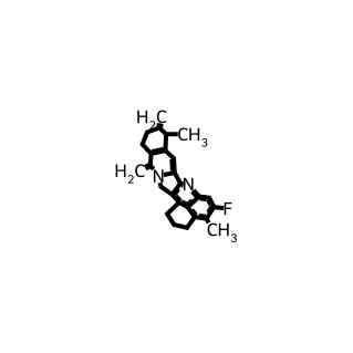 C=C1CCC2=C(C=C3c4nc5cc(F)c(C)c6c5c(c4CN3C2=C)CCC6)C1C